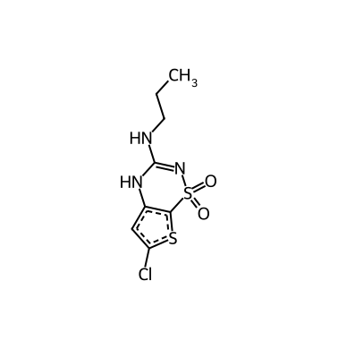 CCCNC1=NS(=O)(=O)c2sc(Cl)cc2N1